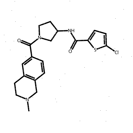 CN1CCc2cc(C(=O)N3CCC(NC(=O)c4ccc(Cl)s4)C3)ccc2C1